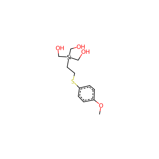 COc1ccc(SCC[Si](CO)(CO)CO)cc1